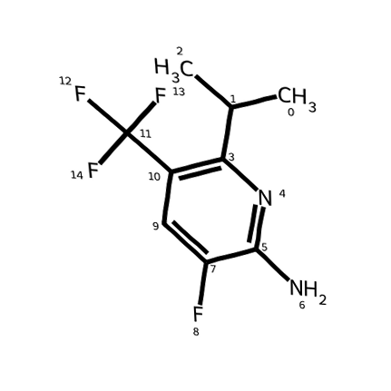 CC(C)c1nc(N)c(F)cc1C(F)(F)F